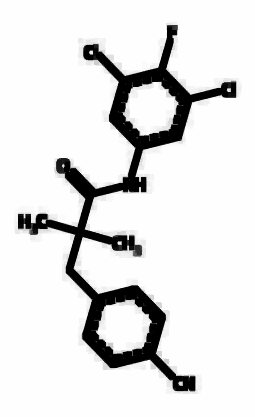 CC(C)(Cc1ccc(C#N)cc1)C(=O)Nc1cc(Cl)c(F)c(Cl)c1